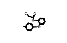 O=C(CCl)Nc1ccccc1Nc1ccc(F)cc1